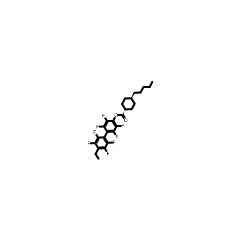 CCCCC[C@H]1CC[C@H](C(=O)Oc2c(F)c(F)c(-c3c(F)c(F)c(CC)c(F)c3F)c(F)c2F)CC1